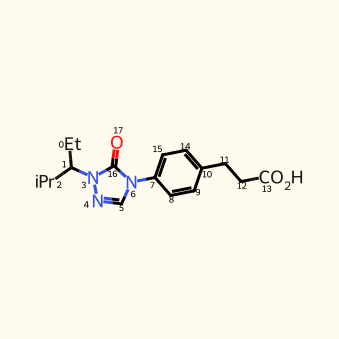 CCC(C(C)C)n1ncn(-c2ccc(CCC(=O)O)cc2)c1=O